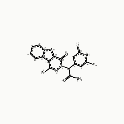 CC(C)c1nn(C(C(N)=O)c2cc(F)[nH]c(=O)c2)c(=O)c2sc3ccccc3c12